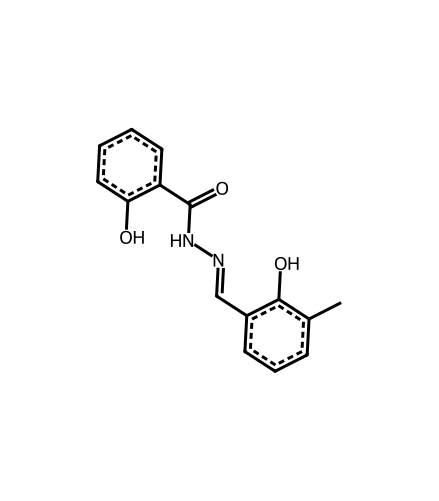 Cc1cccc(C=NNC(=O)c2ccccc2O)c1O